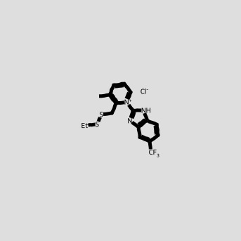 CCSSCc1c(C)ccc[n+]1-c1nc2cc(C(F)(F)F)ccc2[nH]1.[Cl-]